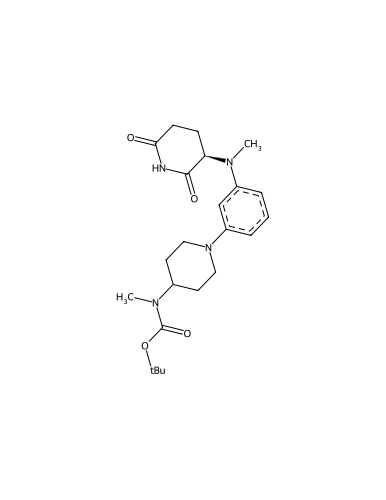 CN(C(=O)OC(C)(C)C)C1CCN(c2cccc(N(C)[C@@H]3CCC(=O)NC3=O)c2)CC1